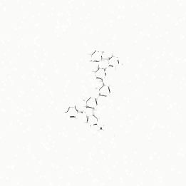 CC(C)(C)c1ccc2c(c1)c1cc(-c3cccc(-c4ccc5c(c4)c4ccccc4c4nccnc54)c3)ccc1n2-c1ccccc1